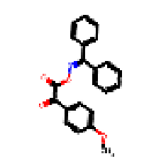 COc1ccc(C(=O)C(=O)ON=C(c2ccccc2)c2ccccc2)cc1